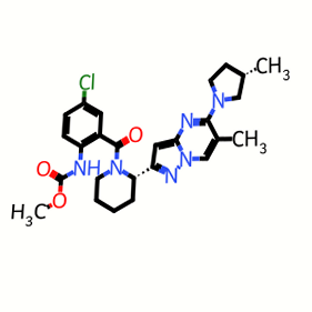 COC(=O)Nc1ccc(Cl)cc1C(=O)N1CCCC[C@H]1c1cc2nc(N3CC[C@H](C)C3)c(C)cn2n1